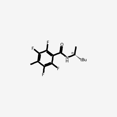 Cc1c(F)c(F)c(C(=O)N[C@H](C)C(C)(C)C)c(F)c1F